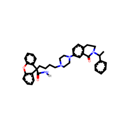 CCNC(=O)C1(CCCCN2CCN(c3ccc4c(c3)C(=O)N(C(C)c3ccccc3)CC4)CC2)c2ccccc2Oc2ccccc21